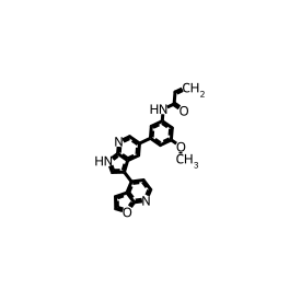 C=CC(=O)Nc1cc(OC)cc(-c2cnc3[nH]cc(-c4ccnc5occc45)c3c2)c1